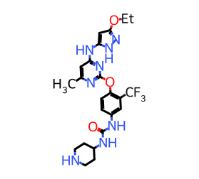 CCOc1cc(Nc2cc(C)nc(Oc3ccc(NC(=O)NC4CCNCC4)cc3C(F)(F)F)n2)[nH]n1